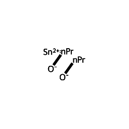 CCC[O-].CCC[O-].[Sn+2]